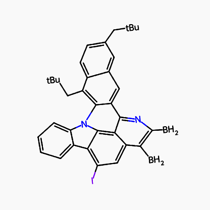 Bc1nc2c3cc4cc(CC(C)(C)C)ccc4c(CC(C)(C)C)c3n3c4ccccc4c4c(I)cc(c1B)c2c43